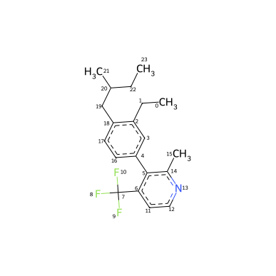 CCc1cc(-c2c(C(F)(F)F)ccnc2C)ccc1CC(C)CC